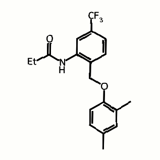 CCC(=O)Nc1cc(C(F)(F)F)ccc1COc1ccc(C)cc1C